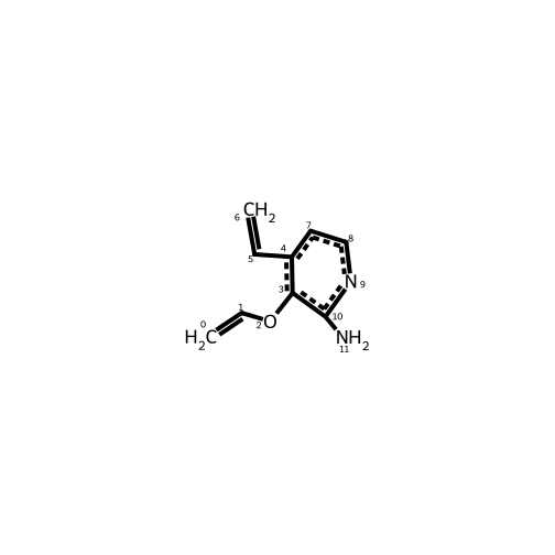 C=COc1c(C=C)ccnc1N